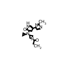 C=CC(=O)N1CC(N(c2cc(-c3ccnc(C)n3)c[nH]c2=O)C2CC2)C1